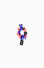 CCN(CC)[C@@H]1C[C@H]2COc3ccc(cc3)C(=O)N(C)[C@H](C(=O)NCc3ccc4ccccc4c3)CCC(=O)N(C)CC(=O)N2C1